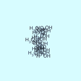 CC(=O)N[C@H]1[C@H]([C@H](O)[C@H](O)CO)O[C@@](OC[C@@H](O)[C@H](O)[C@H](O[C@@H]2O[C@H](CO)[C@H](O)[C@H](O[C@]3(C(=O)O)C[C@H](O)[C@@H](NC(C)=O)[C@H]([C@H](O)[C@H](O)CO)O3)[C@H]2O)[C@H](C=O)NC(C)=O)(C(=O)O)C[C@@H]1O